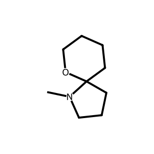 CN1CCCC12CCCCO2